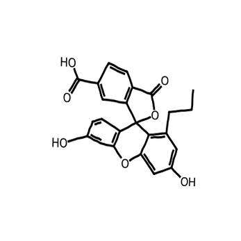 CCCc1cc(O)cc2c1C1(OC(=O)c3ccc(C(=O)O)cc31)c1ccc(O)cc1O2